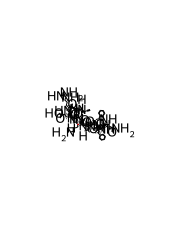 C#CCNC(=O)CNC(=O)[C@H](CCCNC(=N)N)NC(=O)[C@H](CCC(=O)O)NC(=O)[C@@H](NC(=O)[C@H](CCCCN)NC(=O)[C@@H](NC(=O)[C@H](Cc1c[nH]c2ccccc12)NC(=O)[C@H](Cc1ccccc1)NC(=O)[C@@H](C)CCC(N)=O)C(C)C)C(C)C